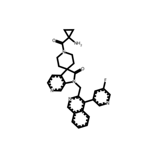 NC1(C(=O)N2CCC3(CC2)C(=O)N(Cc2ncc4ccccc4c2-c2cncc(F)c2)c2cnccc23)CC1